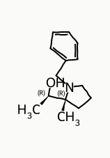 C[C@@H](O)[C@@]1(C)CCCN1Cc1ccccc1